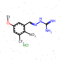 CCOc1cc(C=NNC(=N)N)c([N+](=O)[O-])c(C(F)(F)F)c1.Cl